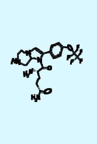 NC(=O)CC[C@H](N)C(=O)N1C(c2ccc(OC(F)(F)C(F)(F)F)cc2)=CN2CCNCC21